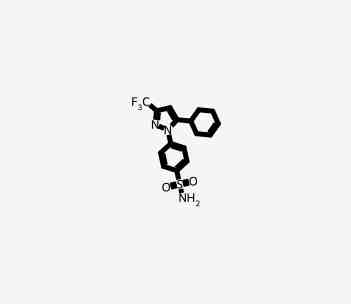 NS(=O)(=O)c1ccc(-n2nc(C(F)(F)F)cc2C2CC=CCC2)cc1